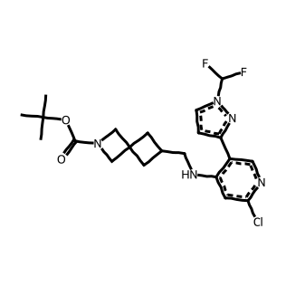 CC(C)(C)OC(=O)N1CC2(CC(CNc3cc(Cl)ncc3-c3ccn(C(F)F)n3)C2)C1